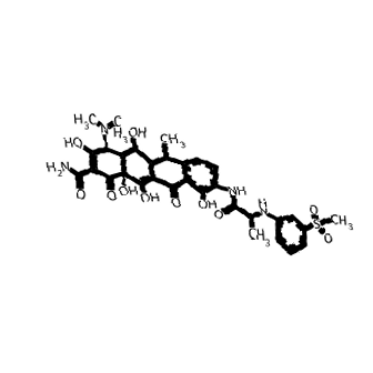 CC(Nc1cccc(S(C)(=O)=O)c1)C(=O)Nc1ccc2c(c1O)C(=O)C1=C(O)[C@]3(O)C(=O)C(C(N)=O)=C(O)[C@@H](N(C)C)C3C(O)C1C2C